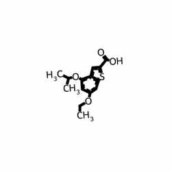 CCOc1cc(OC(C)C)c2cc(C(=O)O)sc2c1